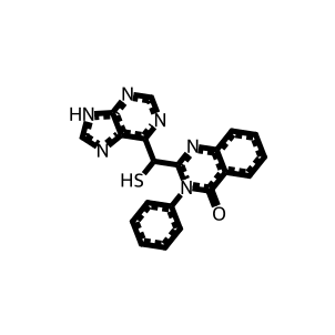 O=c1c2ccccc2nc(C(S)c2ncnc3[nH]cnc23)n1-c1ccccc1